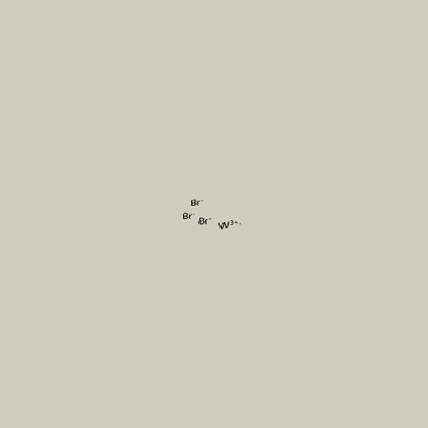 [Br-].[Br-].[Br-].[W+3]